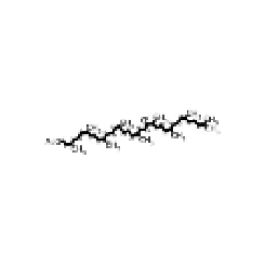 CC(=O)OCC=C(C)CCC=C(C)CCC=C(C)CCC=C(C)CCC=C(C)CCC(=O)C(C)CCC=C(C)CCC=C(C)CCC=C(C)C